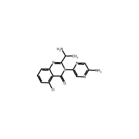 CC(N)c1nc2cccc(Cl)c2c(=O)n1-c1cnc(N)cn1